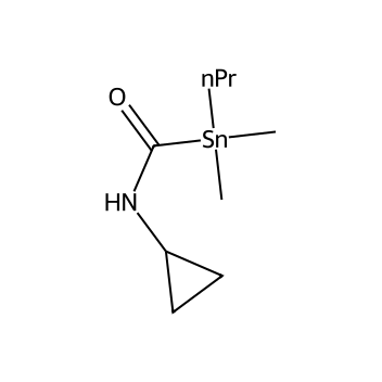 CC[CH2][Sn]([CH3])([CH3])[C](=O)NC1CC1